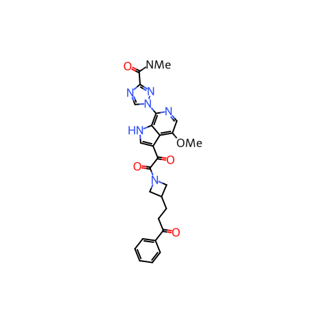 CNC(=O)c1ncn(-c2ncc(OC)c3c(C(=O)C(=O)N4CC(CCC(=O)c5ccccc5)C4)c[nH]c23)n1